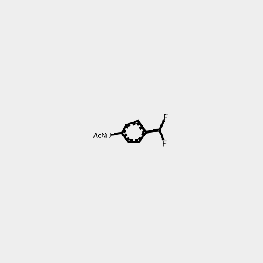 CC(=O)Nc1ccc(C(F)F)cc1